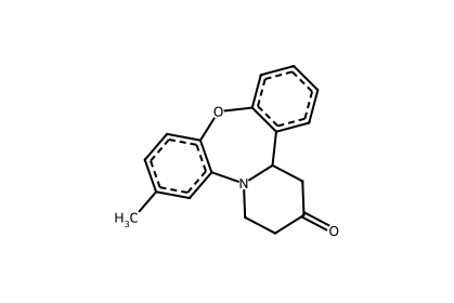 Cc1ccc2c(c1)N1CCC(=O)CC1c1ccccc1O2